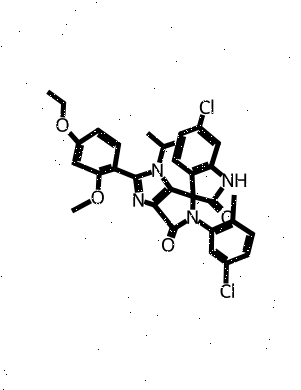 CCOc1ccc(-c2nc3c(n2C(C)C)C2(C(=O)Nc4cc(Cl)ccc42)N(c2cc(Cl)ccc2C)C3=O)c(OC)c1